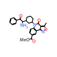 COC(=O)c1ccc2c(c1)c1noc(C)c1c(=O)n2C1CCCC(C(N)C(=O)c2ccccc2)C1